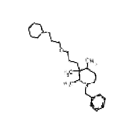 CC1CCN(Cc2ccccc2)C(C)C1(C)CCCOCCCC1CCCCC1